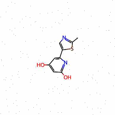 Cc1ncc(-c2cc(O)cc(O)n2)s1